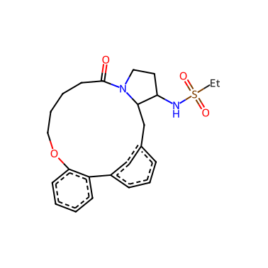 CCS(=O)(=O)NC1CCN2C(=O)CCCCOc3ccccc3-c3cccc(c3)CC12